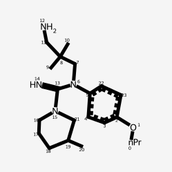 CCCOc1ccc(N(CC(C)(C)CN)C(=N)N2CCCC(C)C2)cc1